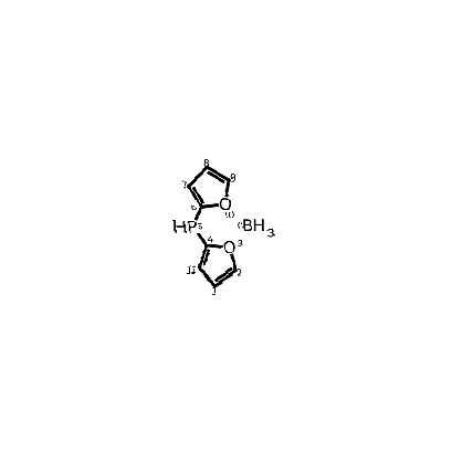 B.c1coc(Pc2ccco2)c1